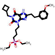 CCOP(=O)(CCCCn1c(=O)n(CC2CCC2)c(=O)c2[nH]c(CCc3cccc(OC)c3)nc21)OCC